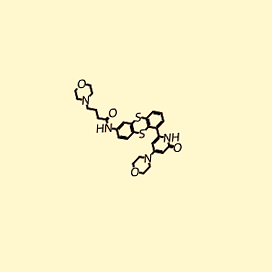 O=C(CCCN1CCOCC1)Nc1ccc2c(c1)Sc1cccc(-c3cc(N4CCOCC4)cc(=O)[nH]3)c1S2